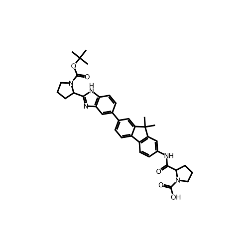 CC(C)(C)OC(=O)N1CCCC1c1nc2cc(-c3ccc4c(c3)C(C)(C)c3cc(NC(=O)C5CCCN5C(=O)O)ccc3-4)ccc2[nH]1